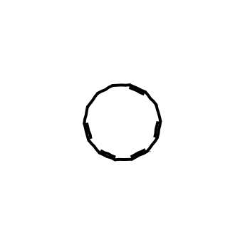 [C]1=CC=CC=CCCCC=CCC=C1